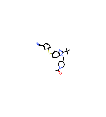 CC(=O)N1CCC(Cn2c(C(C)(C)C)nc3cc(Sc4cccc(C#N)c4)ccc32)CC1